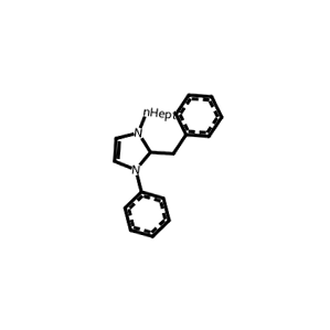 CCCCCCCN1C=CN(c2ccccc2)C1Cc1ccccc1